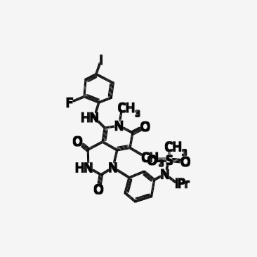 Cc1c(=O)n(C)c(Nc2ccc(I)cc2F)c2c(=O)[nH]c(=O)n(-c3cccc(N(C(C)C)S(C)(=O)=O)c3)c12